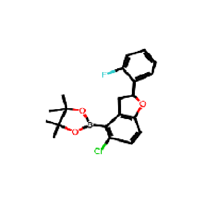 CC1(C)OB(c2c(Cl)ccc3c2CC(c2ccccc2F)O3)OC1(C)C